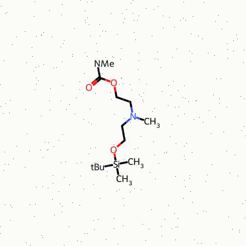 CNC(=O)OCCN(C)CCO[Si](C)(C)C(C)(C)C